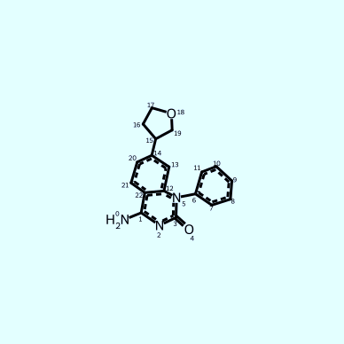 Nc1nc(=O)n(-c2ccccc2)c2cc(C3CCOC3)ccc12